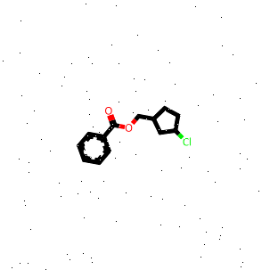 O=C(OCC1CCC(Cl)C1)c1ccccc1